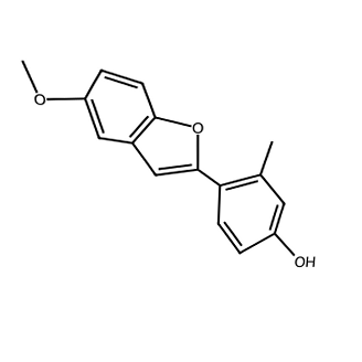 COc1ccc2oc(-c3ccc(O)cc3C)cc2c1